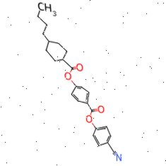 CCCCC1CCC(C(=O)Oc2ccc(C(=O)Oc3ccc(C#N)cc3)cc2)CC1